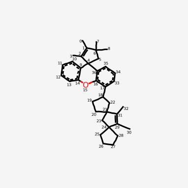 CC1=C(C)C2(CC1(C)C)c1ccccc1Oc1c(C3CCC4(C3)CC3(CCCC3)C(C)=C4C)cccc12